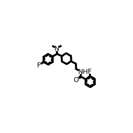 CN(C)C(c1ccc(F)cc1)C1CCC(CCNC(=O)c2ccccc2F)CC1